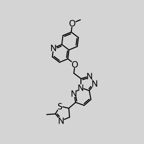 COc1ccc2c(OCc3nnc4ccc(C5CN=C(C)S5)nn34)ccnc2c1